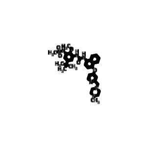 COc1c(NC(=O)Nc2ccc(Oc3ccnc(CN4CCN(C)CC4)c3)c3ccccc23)cc(C(C)(C)C)cc1NS(C)(=O)=O